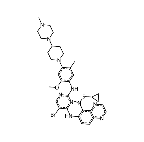 COc1cc(N2CCC(N3CCN(C)CC3)CC2)c(C)cc1Nc1ncc(Br)c(Nc2ccc3nccnc3c2N(C)SC2CC2)n1